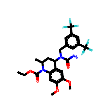 CCOC(=O)N1c2cc(OC)c(OC)cc2C(N(Cc2cc(C(F)(F)F)cc(C(F)(F)F)c2)C(N)=O)CC1C